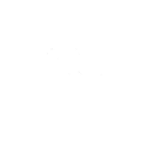 COC(=O)c1ccc2c(c1)NC(=O)C2=C(Nc1ccc(CC(=O)N2CCN(C)CC2)cc1)c1ccc2scnc2c1